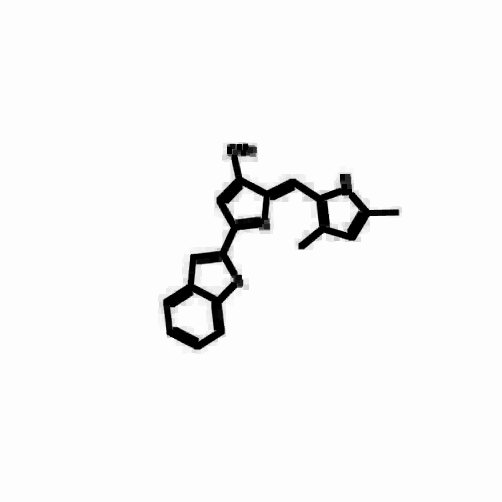 COC1=CC(c2cc3ccccc3s2)=N/C1=C\c1[nH]c(C)cc1C